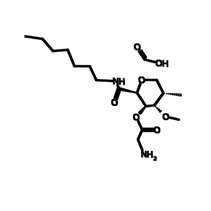 CCCCCCCNC(=O)[C@H]1OC[C@H](C)[C@H](OC)[C@H]1OC(=O)CN.O=CO